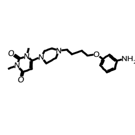 Cn1c(N2CCN(CCCCOc3cccc(N)c3)CC2)cc(=O)n(C)c1=O